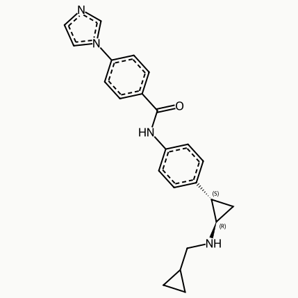 O=C(Nc1ccc([C@@H]2C[C@H]2NCC2CC2)cc1)c1ccc(-n2ccnc2)cc1